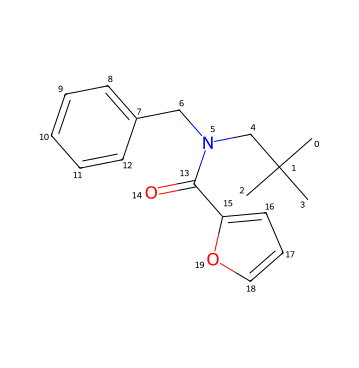 CC(C)(C)CN(Cc1ccccc1)C(=O)c1ccco1